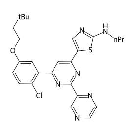 CCCNc1ncc(-c2cc(-c3cc(OCCC(C)(C)C)ccc3Cl)nc(-c3cnccn3)n2)s1